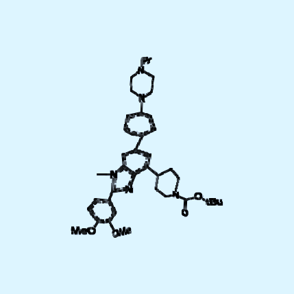 COc1ccc(-c2nc3c(C4CCN(C(=O)OC(C)(C)C)CC4)cc(-c4ccc(N5CCN(C(C)C)CC5)cc4)cc3n2C)cc1OC